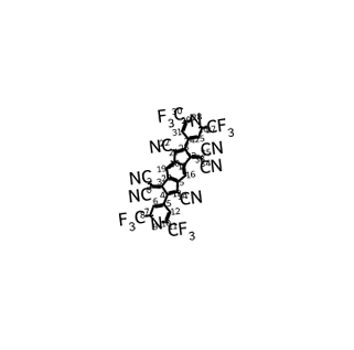 N#CC(C#N)=C1C(c2cc(C(F)(F)F)nc(C(F)(F)F)c2)=C(C#N)c2cc3c(cc21)C(C#N)=C(c1cc(C(F)(F)F)nc(C(F)(F)F)c1)C3=C(C#N)C#N